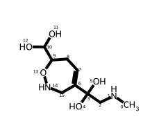 CNCC(O)(O)C1=CCC(C(O)O)ONC1